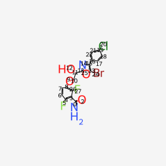 NC(=O)c1c(F)ccc(OCC(O)c2nc(-c3ccc(Cl)cc3)c(Br)o2)c1F